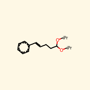 CC(C)OC(CC/C=C/c1ccccc1)OC(C)C